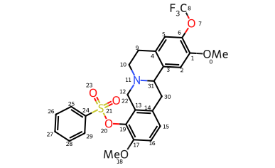 COc1cc2c(cc1OC(F)(F)F)CCN1Cc3c(ccc(OC)c3OS(=O)(=O)c3ccccc3)CC21